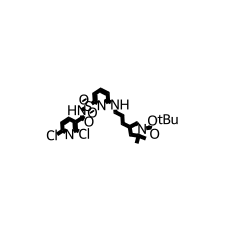 CC(C)(C)OC(=O)N1CC(CCCNc2cccc(S(=O)(=O)NC(=O)c3ccc(Cl)nc3Cl)n2)CC1(C)C